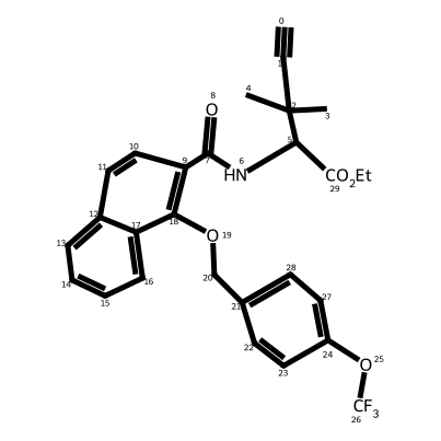 C#CC(C)(C)C(NC(=O)c1ccc2ccccc2c1OCc1ccc(OC(F)(F)F)cc1)C(=O)OCC